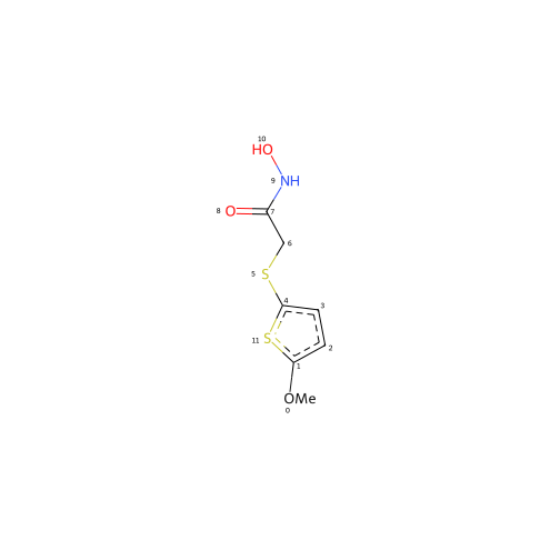 COc1ccc(SCC(=O)NO)s1